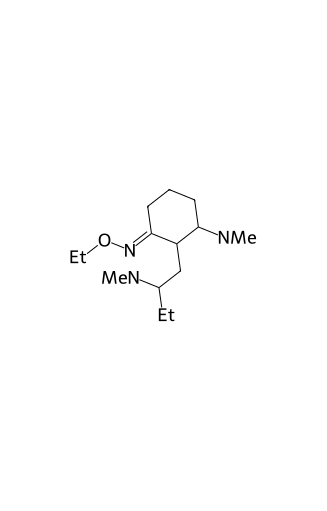 CCON=C1CCCC(NC)C1CC(CC)NC